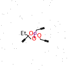 C#CCOP(=O)(CC#C)OC(C)(C#C)CC